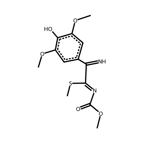 COC(=O)N=C(SC)C(=N)c1cc(OC)c(O)c(OC)c1